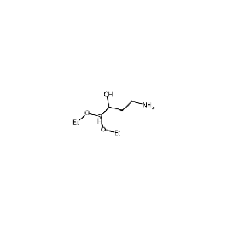 CCO[SiH](OCC)C(O)CCN